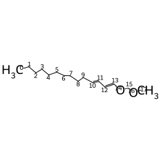 CCCCCCCCCCC=CC=COCOC